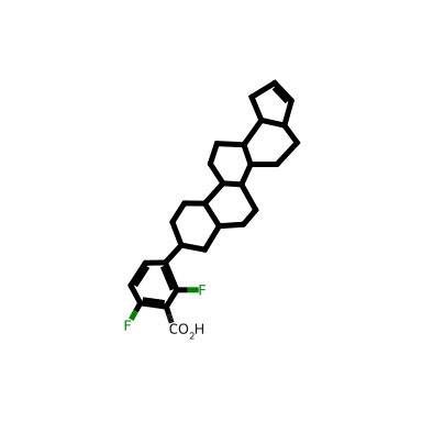 O=C(O)c1c(F)ccc(C2CCC3C(CCC4C3CCC3C5CC=CC5CCC34)C2)c1F